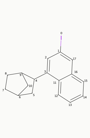 Ic1cc(C2CC3CCC2C3)c2ccccc2c1